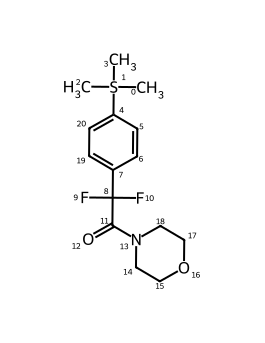 CS(C)(C)c1ccc(C(F)(F)C(=O)N2CCOCC2)cc1